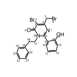 O=c1c(Br)c(CBr)nc(-c2ccccc2O)n1CCc1ccccc1